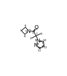 CC(C)(C(=O)N1CCC1)n1c[c]cn1